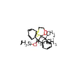 CC(C)(C)[C@]1(C(O[SiH3])(c2ccccc2)c2ccccc2)OCCS1